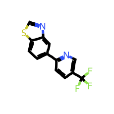 FC(F)(F)c1ccc(-c2ccc3scnc3c2)nc1